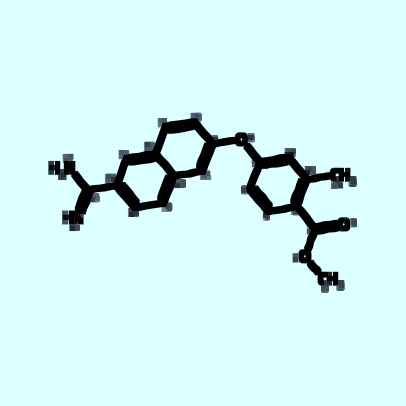 COC(=O)c1ccc(Oc2ccc3cc(C(=N)N)ccc3c2)cc1C